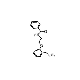 CCc1ccccc1OCCNC(=O)c1ccccc1